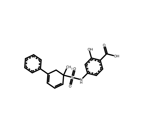 CC1(S(=O)(=O)Nc2ccc(C(=O)O)c(O)c2)C=CC=C(c2ccccc2)C1